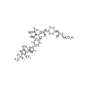 Cn1nc(C(F)(F)C(F)(F)F)c(C(F)(F)F)c1-n1cc(-c2ccc(Cl)c(C(=O)N(COC(=O)O[C@H]3CC[C@H](OC(=O)/C=C/C(=O)O)CC3)C3(C#N)CC3)c2)cn1